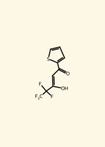 O=C(/C=C(\O)C(F)(F)C(F)(F)F)c1cccs1